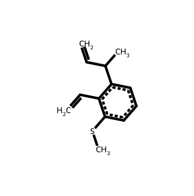 C=C[C](C)c1cccc(SC)c1C=C